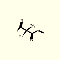 BC(B)(C(=O)I)C(=O)NC